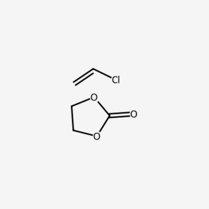 C=CCl.O=C1OCCO1